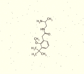 COc1c(CC(=O)NCC(C)N)cccc1C(C)(C)C